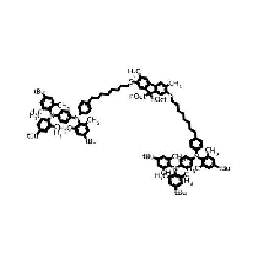 CCCCCCCCC1(CCCCCCCC)c2cc(SCCCCCCCCc3ccc(N(c4ccc(N(c5c(C)cc(C(C)(C)C)cc5C)c5c(C)cc(C(C)(C)C)cc5C)cc4)c4c(C)cc(C(C)(C)C)cc4C)cc3)c(C)cc2-c2cc(C)c(SCCCCCCCCc3ccc(N(c4ccc(N(c5c(C)cc(C(C)(C)C)cc5C)c5c(C)cc(C(C)(C)C)cc5C)cc4)c4c(C)cc(C(C)(C)C)cc4C)cc3)cc21